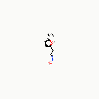 O=[N+]([O-])c1ccc(CC=NO)o1